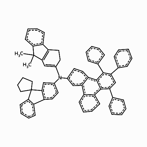 CC1(C)C2=C(CCC(N(c3ccc4c(c3)C3(CCCC3)c3ccccc3-4)c3ccc4c(c3)c3ccccc3c3c(-c5ccccc5)cc(-c5ccccc5)c(-c5ccccc5)c43)=C2)c2ccccc21